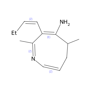 CC\C=C/C1=C(\N)C(C)C\C=C/N=C\1C